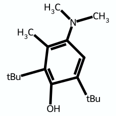 Cc1c(N(C)C)cc(C(C)(C)C)c(O)c1C(C)(C)C